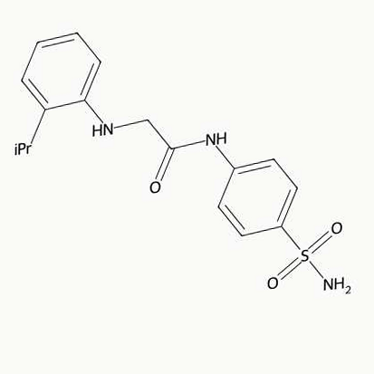 CC(C)c1ccccc1NCC(=O)Nc1ccc(S(N)(=O)=O)cc1